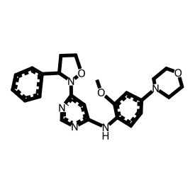 COc1cc(N2CCOCC2)ccc1Nc1cc(N2OCCC2c2ccccc2)ncn1